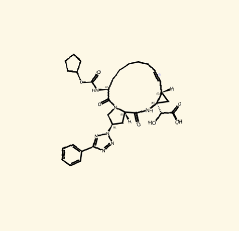 O=C(N[C@H]1CCCCC/C=C\[C@@H]2C[C@@]2(C(O)C(=O)O)NC(=O)[C@@H]2C[C@@H](n3nnc(-c4ccccc4)n3)CN2C1=O)OC1CCCC1